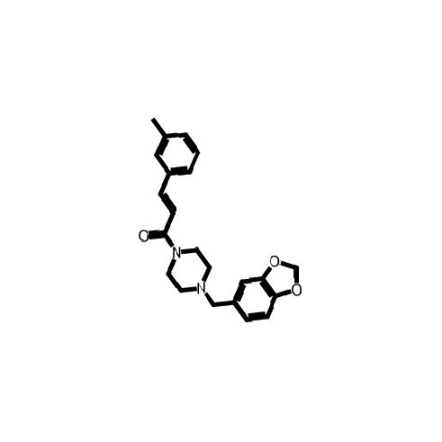 Cc1cccc(/C=C/C(=O)N2CCN(Cc3ccc4c(c3)OCO4)CC2)c1